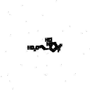 Cl.O=C(O)CC[C@H]1CC(F)(F)CN1